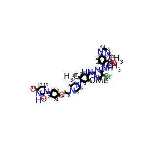 COc1cc(N2CCN(CCOc3ccc(N4CCC(=O)NC4=O)cc3)CC2)c(C)cc1Nc1ncc(Br)c(Nc2ccc3nccnc3c2P(C)(C)=O)n1